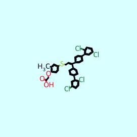 Cc1cc(SCC=C(c2ccc(-c3cc(Cl)ccc3Cl)cc2)c2ccc(-c3cc(Cl)ccc3Cl)cc2)ccc1OCC(=O)O